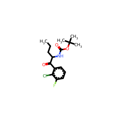 CCCC(NC(=O)OC(C)(C)C)C(=O)c1cccc(F)c1Cl